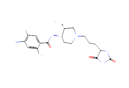 COc1cc(N)c(Cl)cc1C(=O)N[C@@H]1CCN(CCCC2NC(=O)NC2=O)C[C@@H]1OC